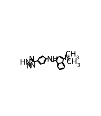 CN(C)c1ccc(CNc2ccc(-c3nn[nH]n3)cc2)c2ccccc12